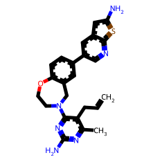 C=CCc1c(C)nc(N)nc1N1CCOc2ccc(-c3cnc4sc(N)cc4c3)cc2C1